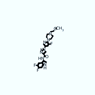 COCCN1CCN(c2ncc(-n3cc(C(=O)Nc4c[nH]c5cc(F)c(F)cc45)nn3)cc2F)CC1